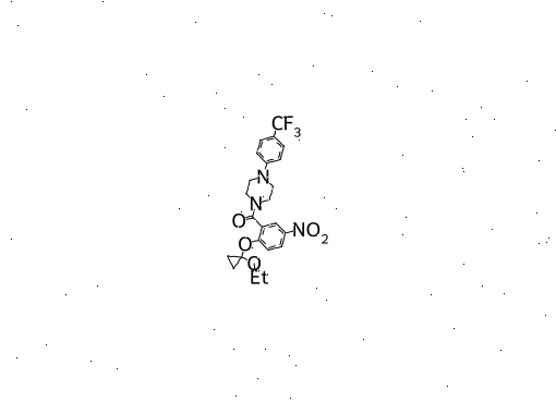 CCOC1(Oc2ccc([N+](=O)[O-])cc2C(=O)N2CCN(c3ccc(C(F)(F)F)cc3)CC2)CC1